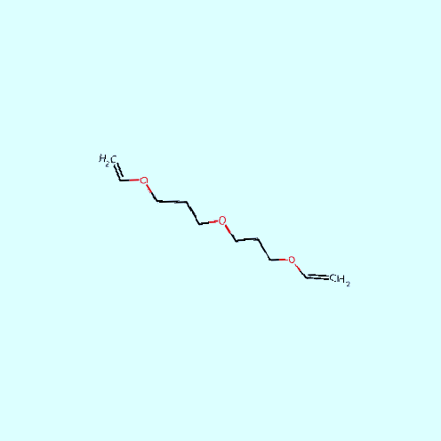 C=COCCCOCCCOC=C